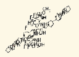 COC(=O)N[C@H](C(=O)N[C@@H](Cc1ccc(-c2ccc(N3CC4CCC(C3)N4C3COC3)nc2)cc1)[C@@H](O)CN(Cc1c(F)cc(-c2ccc(N3CC4CCC(C3)N4C3COC3)nc2)cc1F)NC(=O)[C@@H](NC(=O)O)C(C)(C)C(F)(F)F)C(C)(C)C(F)(F)F